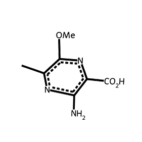 COc1nc(C(=O)O)c(N)nc1C